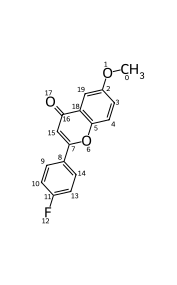 COc1ccc2oc(-c3ccc(F)cc3)cc(=O)c2c1